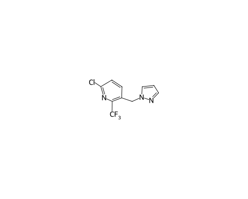 FC(F)(F)c1nc(Cl)ccc1Cn1cccn1